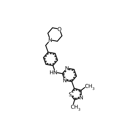 Cc1nc(C)c(-c2ccnc(Nc3ccc(CN4CCOCC4)cc3)n2)s1